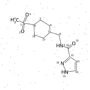 CS(=O)(=O)C1CCC(CNC(=O)c2cc[nH]n2)CC1